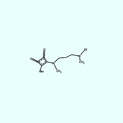 CCN(C)CCCN(C)c1c(C(C)(C)C)c(=S)c1=O